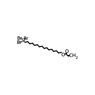 C=CC(=O)OCCCCCCCCCCCCCCCC[Si](Br)(Br)Br